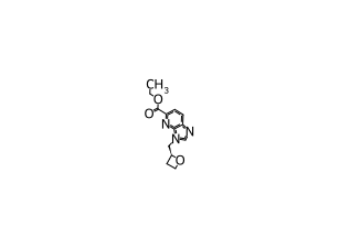 CCOC(=O)c1ccc2ncn(C[C@@H]3CCO3)c2n1